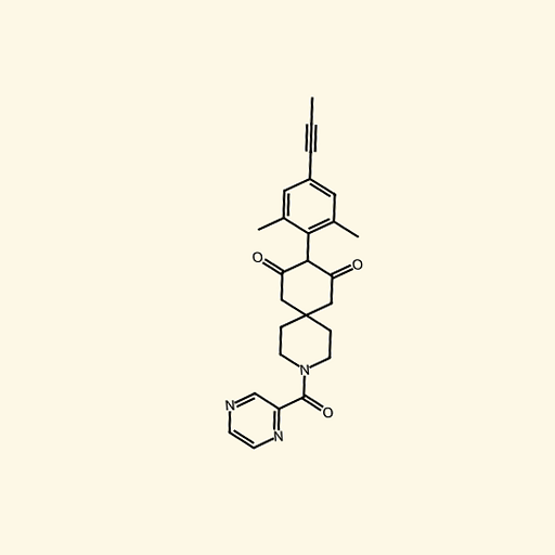 CC#Cc1cc(C)c(C2C(=O)CC3(CCN(C(=O)c4cnccn4)CC3)CC2=O)c(C)c1